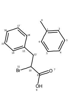 Cc1ccccc1.O=C(O)C(Br)Cc1ccccc1